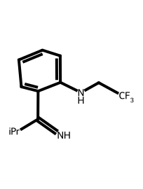 CC(C)C(=N)c1ccccc1NCC(F)(F)F